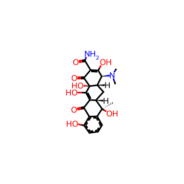 CN(C)[C@@H]1C(O)=C(C(N)=O)C(=O)[C@@]2(O)C(O)=C3C(=O)c4c(O)cccc4[C@](C)(O)[C@H]3C[C@@H]12